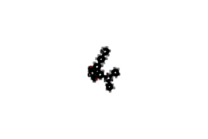 c1ccc(-c2nc(-c3ccccc3)nc(-c3ccc4c(c3)-c3cc(-c5ccc(-c6ccccn6)cc5)ccc3C43c4ccccc4Oc4ccccc43)n2)cc1